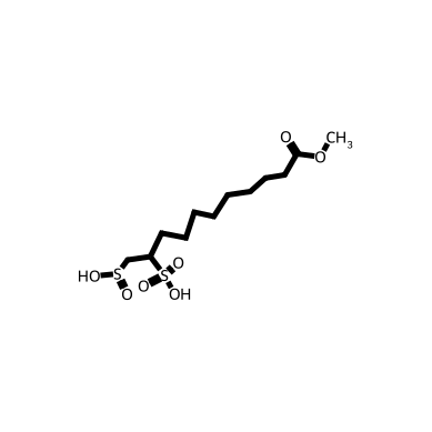 COC(=O)CCCCCCCCC(CS(=O)O)S(=O)(=O)O